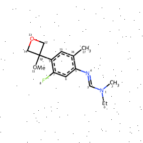 CCN(C)C=Nc1cc(F)c(C2(OC)COC2)cc1C